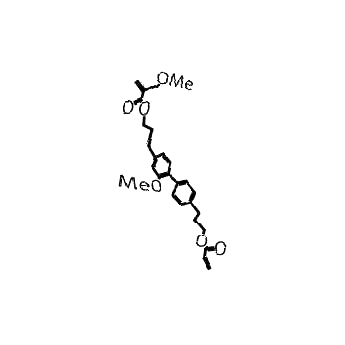 C=CC(=O)OCCCc1ccc(-c2ccc(CCCOC(=O)C(=C)COC)cc2OC)cc1